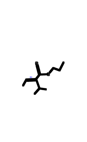 C/C=C(/C(=O)OCCC)C(C)C